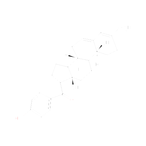 C[C@]12CCC(C(=O)O)=CC1=CC[C@@H]1[C@@H]2CC[C@]2(C)C(C(=O)c3ccc(O)cc3)CC[C@@H]12